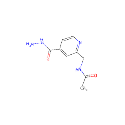 CC(=O)NCc1cc(C(=O)NN)ccn1